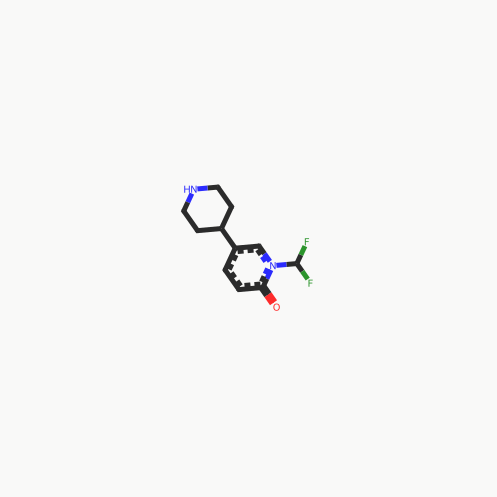 O=c1ccc(C2CCNCC2)cn1C(F)F